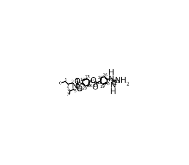 CCCCN(CCC)S(=O)(=O)c1ccc(OC(=O)c2ccc(NC(=N)N)cc2)cc1